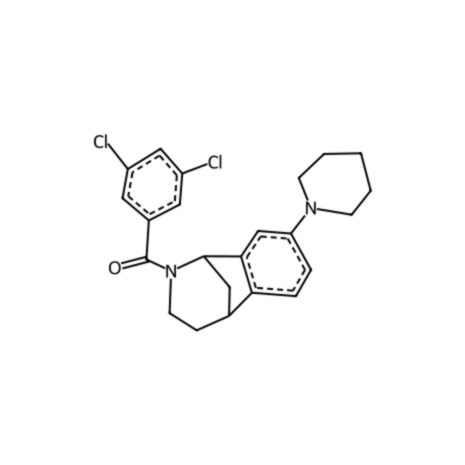 O=C(c1cc(Cl)cc(Cl)c1)N1CCC2CC1c1cc(N3CCCCC3)ccc12